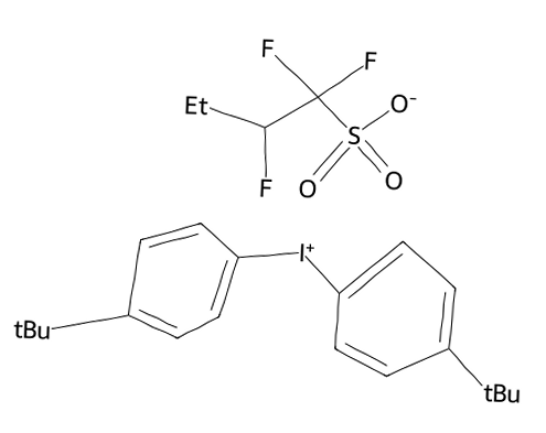 CC(C)(C)c1ccc([I+]c2ccc(C(C)(C)C)cc2)cc1.CCC(F)C(F)(F)S(=O)(=O)[O-]